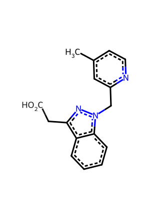 Cc1ccnc(Cn2nc(CC(=O)O)c3ccccc32)c1